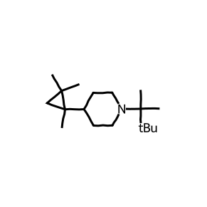 CC(C)(C)C(C)(C)N1CCC(C2(C)CC2(C)C)CC1